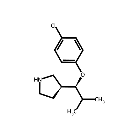 CC(C)[C@H](Oc1ccc(Cl)cc1)[C@H]1CCNC1